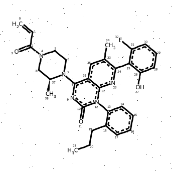 C=CC(=O)N1CCN(c2nc(=O)n(-c3ccccc3CCC)c3nc(-c4c(O)cccc4F)c(C)cc23)[C@@H](C)C1